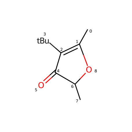 CC1=C(C(C)(C)C)C(=O)C(C)O1